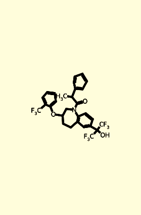 CC(C(=O)N1CC(Oc2ccccc2C(F)(F)F)CCc2cc(C(O)(C(F)(F)F)C(F)(F)F)ccc21)c1ccccc1